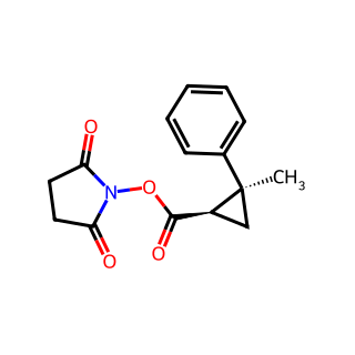 C[C@]1(c2ccccc2)C[C@H]1C(=O)ON1C(=O)CCC1=O